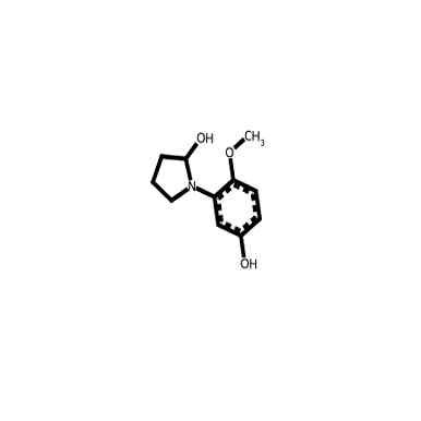 COc1ccc(O)cc1N1CCCC1O